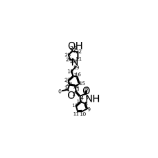 CC1O/C(=C2/C(=O)Nc3ccccc32)c2ccc(CCN3CCC(O)CC3)cc21